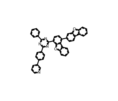 c1ccc(-c2nc(-c3ccc(-c4cccnc4)cc3)nc(-c3ccc(-c4ccc5c(c4)oc4ccccc45)c4c3oc3ccccc34)n2)cc1